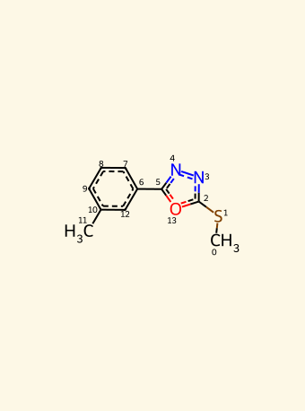 CSc1nnc(-c2cccc(C)c2)o1